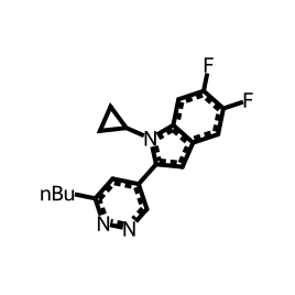 CCCCc1cc(-c2cc3cc(F)c(F)cc3n2C2CC2)cnn1